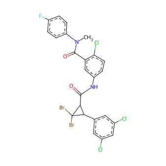 CN(C(=O)c1cc(NC(=O)C2C(c3cc(Cl)cc(Cl)c3)C2(Br)Br)ccc1Cl)c1ccc(F)cc1